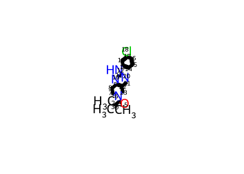 CC(C)(C)C(=O)N1CCc2nc(Nc3cccc(Cl)c3)ncc2C1